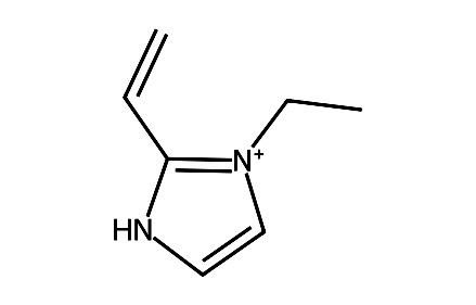 C=Cc1[nH]cc[n+]1CC